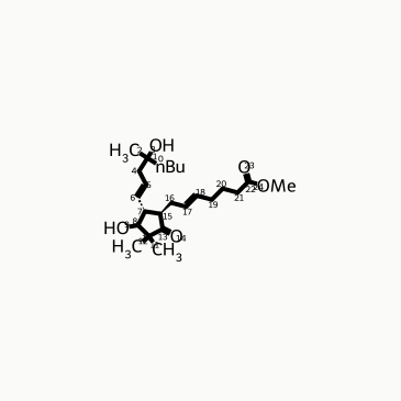 CCCCC(C)(O)C/C=C/[C@H]1C(O)C(C)(C)C(=O)[C@@H]1C/C=C/CCCC(=O)OC